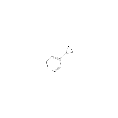 [CH]1C=C(C2CC2)C=CN1